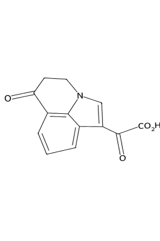 O=C(O)C(=O)c1cn2c3c(cccc13)C(=O)CC2